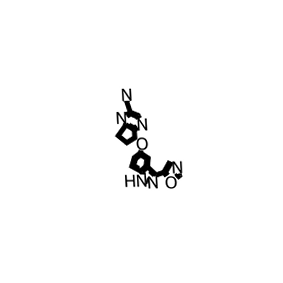 N#Cc1cnc2c(n1)CC[C@H]2Oc1ccc2[nH]nc(-c3cnco3)c2c1